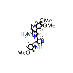 COc1cccc(Nc2cncc(-c3cc4c(cnc5cc(OC)c(OC)cc54)c(N)n3)c2)c1